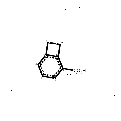 O=C(O)c1cccc2c1CC2